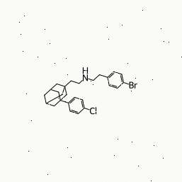 Clc1ccc(C23CC4CC(CC(CCNCCc5ccc(Br)cc5)(C4)C2)C3)cc1